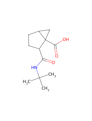 CC(C)(C)NC(=O)C1CCC2CC21C(=O)O